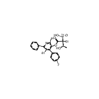 CCc1c(-c2ccccc2)nc(C(C)C)c(OC(=O)C(CC)(C(C)O)[PH](=O)O)c1-c1ccc(F)cc1